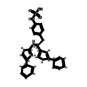 O=S(=O)(O)Nc1ccc(C[C@H](Nc2nc(-c3ccccc3)cs2)c2csc(-c3ccccc3)n2)cc1